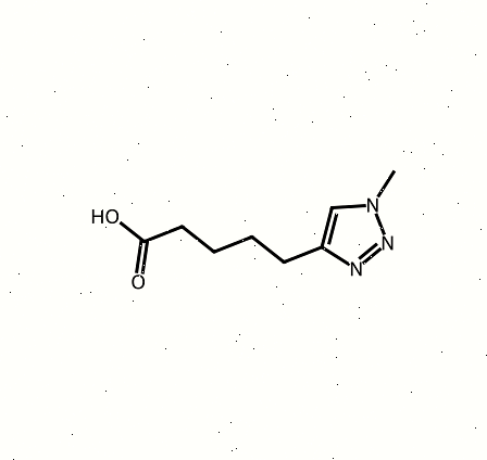 Cn1cc(CCCCC(=O)O)nn1